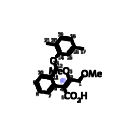 COC/C(OC)=C(\C(=O)O)c1ccccc1COc1cc(C)ccc1C